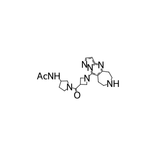 CC(=O)NC1CCN(C(=O)C2CN(c3c4c(nc5ccnn35)CCNCC4)C2)C1